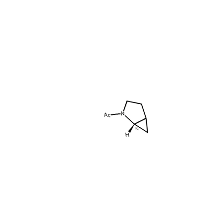 CC(=O)N1CCC2C[C@@H]21